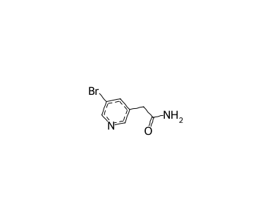 NC(=O)Cc1cncc(Br)c1